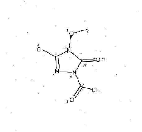 COn1c(Cl)nn(C(=O)Cl)c1=O